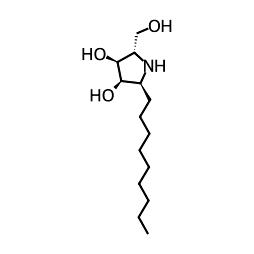 CCCCCCCCC[C@@H]1N[C@@H](CO)[C@H](O)[C@@H]1O